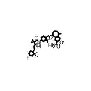 C=C1C=CC=C(OCc2ccc(NC(=O)C3(C(=O)CCc4ccc(F)cc4OC)CC3)cc2F)c2cc(C(=O)NC)c(OC)cc21